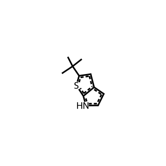 CC(C)(C)c1cc2cc[nH]c2s1